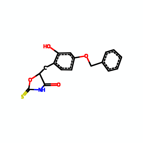 O=C1NC(=S)OC1Cc1ccc(OCc2ccccc2)cc1O